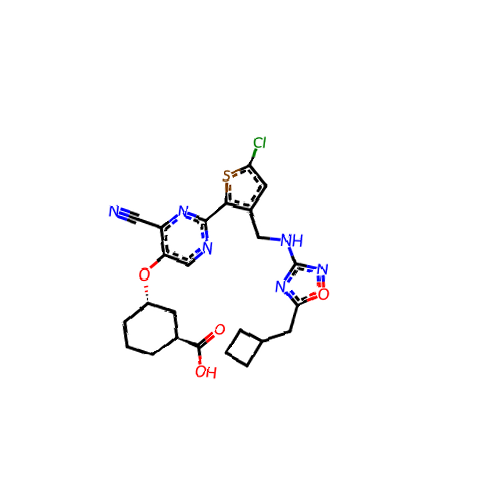 N#Cc1nc(-c2sc(Cl)cc2CNc2noc(CC3CCC3)n2)ncc1O[C@H]1CCC[C@H](C(=O)O)C1